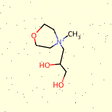 C[N+]1(CC(O)CO)CCOCC1